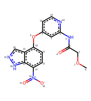 COCC(=O)Nc1cc(Oc2ccc([N+](=O)[O-])c3[nH]ncc23)ccn1